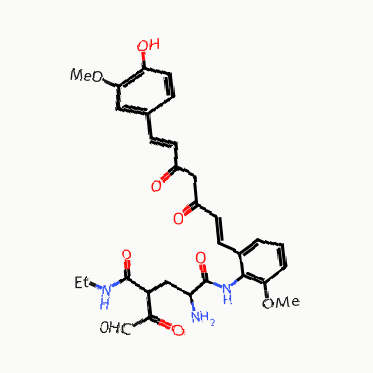 CCNC(=O)C(CC(N)C(=O)Nc1c(C=CC(=O)CC(=O)C=Cc2ccc(O)c(OC)c2)cccc1OC)C(=O)C=O